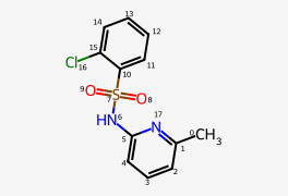 Cc1cccc(NS(=O)(=O)c2ccccc2Cl)n1